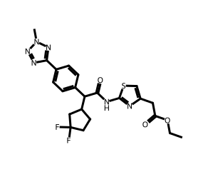 CCOC(=O)Cc1csc(NC(=O)C(c2ccc(-c3nnn(C)n3)cc2)C2CCC(F)(F)C2)n1